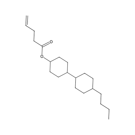 C=CCCC(=O)OC1CCC(C2CCC(CCCC)CC2)CC1